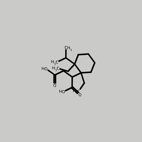 CCC1(C(C)C)CCCCC1(CC)C(CC(=O)O)C(=O)O